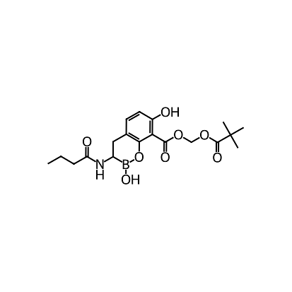 CCCC(=O)NC1Cc2ccc(O)c(C(=O)OCOC(=O)C(C)(C)C)c2OB1O